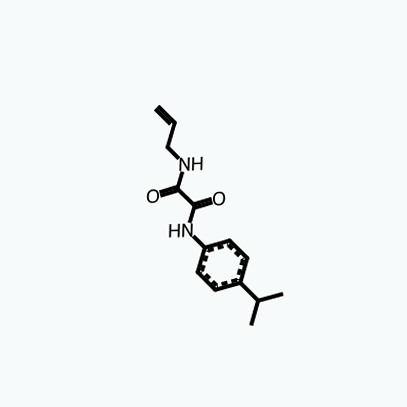 C=CCNC(=O)C(=O)Nc1ccc(C(C)C)cc1